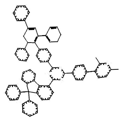 Cc1ccc(-c2ccc(-c3nc(-c4ccc(C5=C(C6=CCCC=C6)C=C(c6ccccc6)CC5c5ccccc5)cc4)nc(-c4cccc5c4-c4ccccc4C5(c4ccccc4)c4ccccc4)n3)cc2)c(C)n1